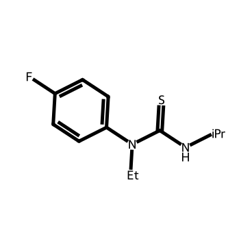 [CH2]CN(C(=S)NC(C)C)c1ccc(F)cc1